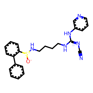 N#C/N=C(\NCCCCN[S+]([O-])c1ccccc1-c1ccccc1)Nc1cccnc1